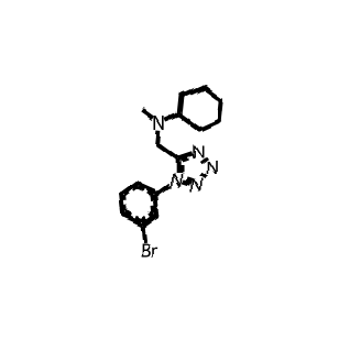 CN(Cc1nnnn1-c1cccc(Br)c1)C1CCCCC1